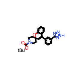 CC(C)(C)OC(=O)N1CCC2(C=C(c3cccc(-c4nn[nH]n4)c3)c3ccccc3O2)CC1